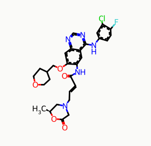 C[C@H]1CN(CC=CC(=O)Nc2cc3c(Nc4ccc(F)c(Cl)c4)ncnc3cc2OCC2CCOCC2)CC(=O)O1